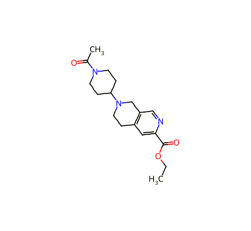 CCOC(=O)c1cc2c(cn1)CN(C1CCN(C(C)=O)CC1)CC2